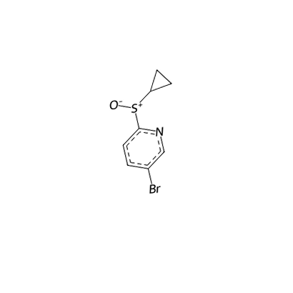 [O-][S+](c1ccc(Br)cn1)C1CC1